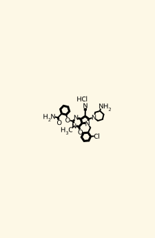 Cl.Cn1c(Oc2ccccc2C(N)=O)nc2c(C#N)c(N3CCCC(N)C3)n(Cc3ccccc3Cl)c2c1=O